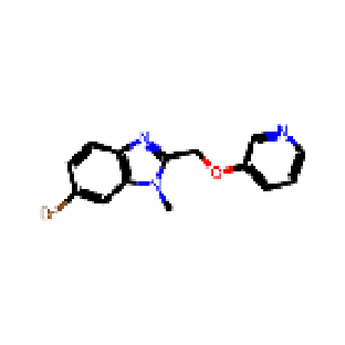 Cn1c(COc2cccnc2)nc2ccc(Br)cc21